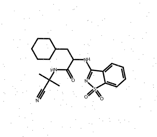 CC(C)(C#N)NC(=O)C(CC1CCCCC1)NC1=NS(=O)(=O)c2ccccc21